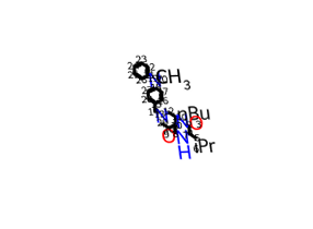 CCCCN1C(=O)C(CC(C)C)NC(=O)C12CCN(Cc1ccc(N(C)c3ccccc3)cc1)CC2